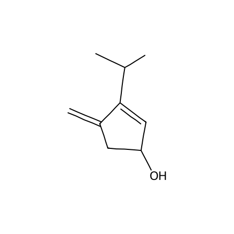 C=C1CC(O)C=C1C(C)C